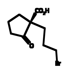 O=C(O)[C@]1(CCCBr)CCCC1=O